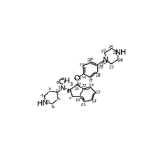 CN(C1CCNCC1)[C@@H]1Cc2ccccc2[C@H]1Oc1ccc(N2CCNCC2)cc1